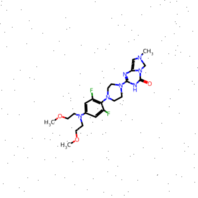 COCCN(CCOC)c1cc(F)c(N2CCN(C3=NC4=CN(C)CN4C(=O)N3)CC2)c(F)c1